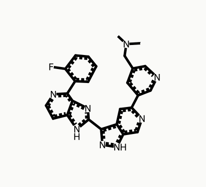 CN(C)Cc1cncc(-c2cc3c(-c4nc5c(-c6ccccc6F)nccc5[nH]4)n[nH]c3cn2)c1